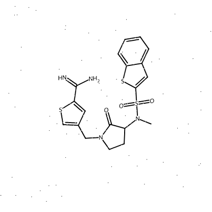 CN(C1CCN(Cc2csc(C(=N)N)c2)C1=O)S(=O)(=O)c1cc2ccccc2s1